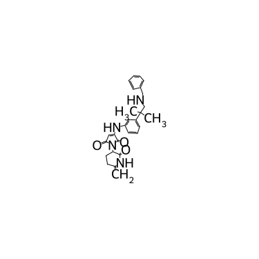 C=C1CCC(N2C(=O)C=C(Nc3cccc(C(C)(C)CNCc4ccccc4)c3)C2=O)C(=O)N1